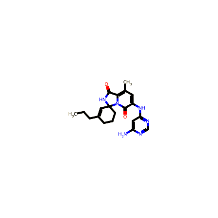 CCCC1=CC2(CCC1)NC(=O)c1c(C)cc(Nc3cc(N)ncn3)c(=O)n12